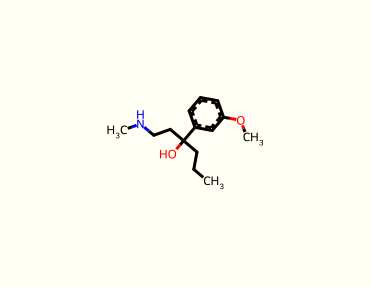 CCCC(O)(CCNC)c1cccc(OC)c1